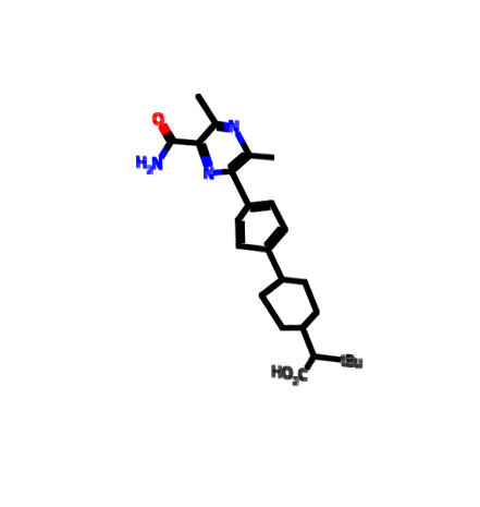 Cc1nc(C)c(-c2ccc(C3CCC(C(C(=O)O)C(C)(C)C)CC3)cc2)nc1C(N)=O